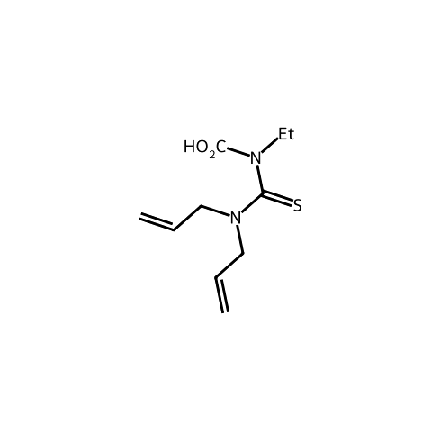 C=CCN(CC=C)C(=S)N(CC)C(=O)O